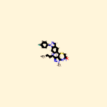 C=C/C=C(\N)c1nn(CC)c2c1C(c1ccc3c(cnn3-c3ccc(F)cc3)c1)SCC(=O)N2